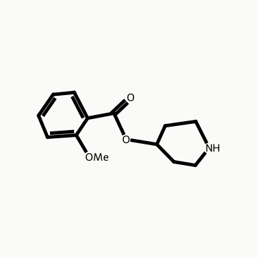 COc1ccccc1C(=O)OC1CCNCC1